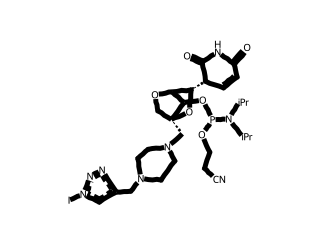 CC(C)N(C(C)C)P(OCCC#N)OC1C2OC[C@]1(CN1CCN(Cc3cn(I)nn3)CC1)O[C@H]2C1C=CC(=O)NC1=O